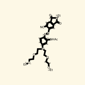 CCOCCOCCN(CCOCCOCC)c1ccc(N=Nc2cc3c(cc2C#N)C(=O)N(CC)C3=O)c(NC(C)=O)c1